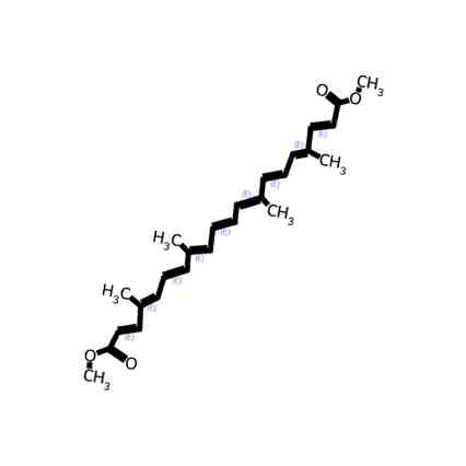 COC(=O)/C=C/C(C)=C/C=C/C(C)=C/C=C/C=C(C)/C=C/C=C(C)/C=C/C(=O)OC